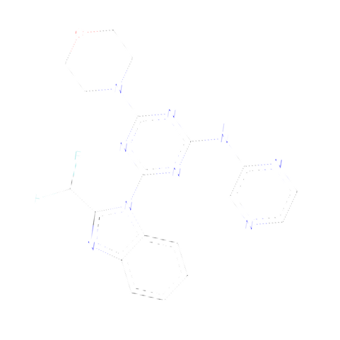 FC(F)c1nc2ccccc2n1-c1nc(Nc2cnccn2)nc(N2CCOCC2)n1